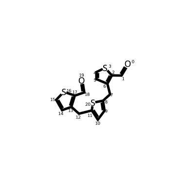 O=Cc1sccc1Cc1ccc(Cc2ccsc2C=O)s1